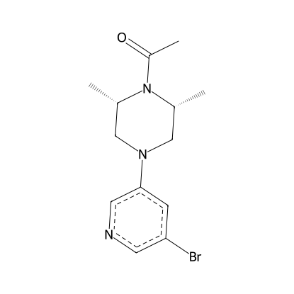 CC(=O)N1[C@H](C)CN(c2cncc(Br)c2)C[C@@H]1C